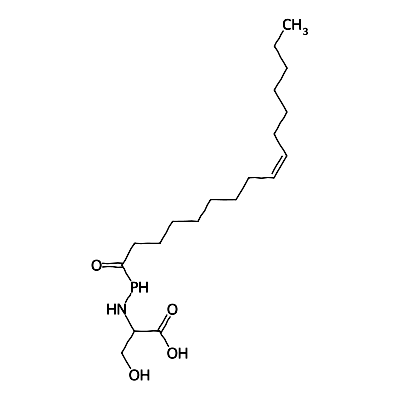 CCCCCC/C=C\CCCCCCCC(=O)PNC(CO)C(=O)O